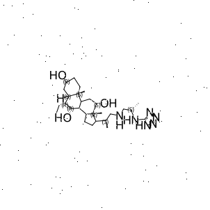 CC[C@H]1[C@@H](O)C2C3CCC([C@H](C)CNC[C@H](C)Nc4nnn[nH]4)[C@@]3(C)[C@@H](O)CC2[C@@]2(C)CC[C@@H](O)C[C@@H]12